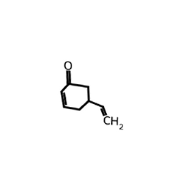 C=CC1CC=CC(=O)C1